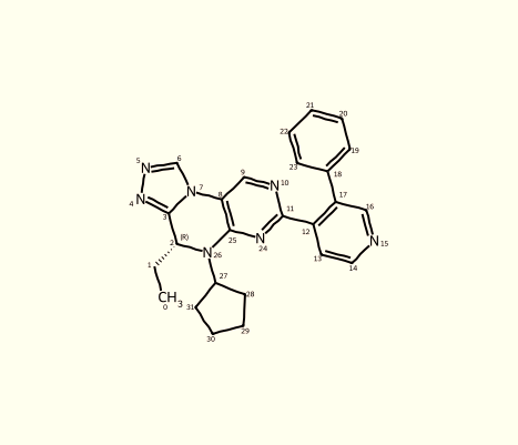 CC[C@@H]1c2nncn2-c2cnc(-c3ccncc3-c3ccccc3)nc2N1C1CCCC1